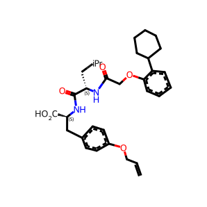 C=CCOc1ccc(C[C@H](NC(=O)[C@H](CC(C)C)NC(=O)COc2ccccc2C2CCCCC2)C(=O)O)cc1